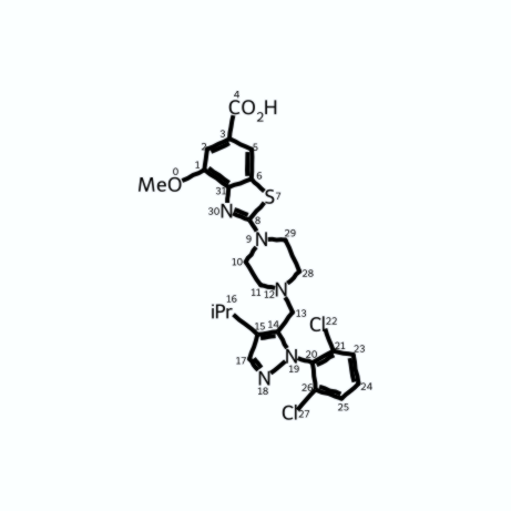 COc1cc(C(=O)O)cc2sc(N3CCN(Cc4c(C(C)C)cnn4-c4c(Cl)cccc4Cl)CC3)nc12